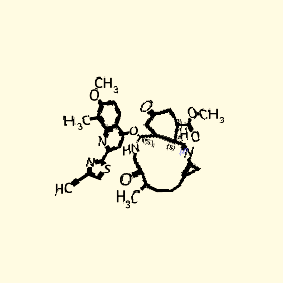 C#Cc1csc(-c2cc(O[C@@H]3NCC(=O)C(C)CCCC4=C(C4)/N=C\[C@H]4C3CC(=O)C[C@H]4C(=O)OC)c3ccc(OC)c(C)c3n2)n1